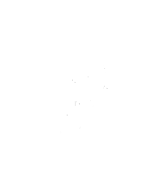 CCc1ccnc(C(=O)Nc2ccccc2)c1N1CCCC1